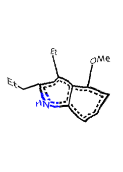 CCc1[nH]c2cccc(OC)c2c1CC